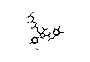 Cc1cc(CN(C)C(=O)c2nn(-c3ccc(F)cc3)c(CCC(O)CC(O)CC(=O)O)c2C(C)C)ccc1F.[NaH]